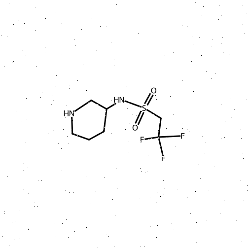 O=S(=O)(CC(F)(F)F)NC1CCCNC1